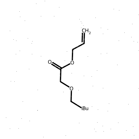 C=CCOC(=O)COCC(C)CC